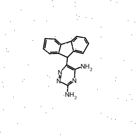 Nc1nnc(C2c3ccccc3-c3ccccc32)c(N)n1